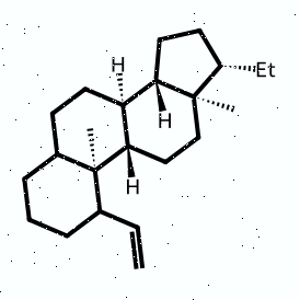 C=CC1CCCC2CC[C@@H]3[C@H](CC[C@]4(C)[C@@H](CC)CC[C@@H]34)[C@@]12C